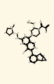 C=C(F)C(=O)N1CCN(c2nc(OC[C@@H]3CCCN3C)nc3c(F)c(-c4cccc5c4C=C4CC45)ncc23)C[C@@H]1CC#N